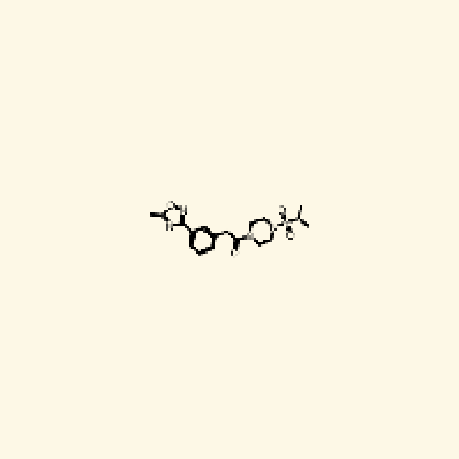 Cc1nc(-c2cccc(CC(=O)N3CCN(S(=O)(=O)C(C)C)CC3)c2)no1